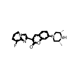 C[C@@H]1CN(c2ccc3cc(-c4cn5cccc(F)c5n4)c(=O)oc3c2)C[C@H](C)N1